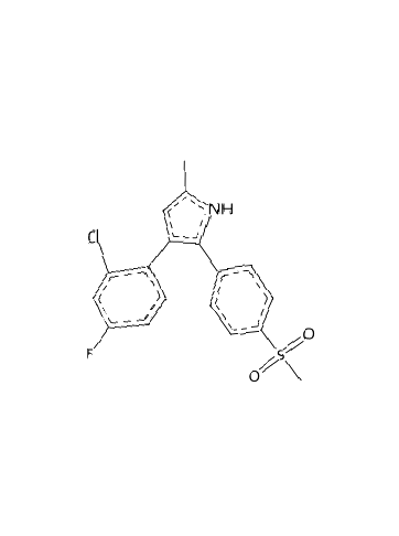 Cc1cc(-c2ccc(F)cc2Cl)c(-c2ccc(S(C)(=O)=O)cc2)[nH]1